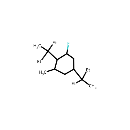 CCC(C)(CC)C1CC(C)C(C(C)(CC)CC)C(F)C1